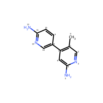 Cc1cnc(N)cc1-c1ccc(N)nc1